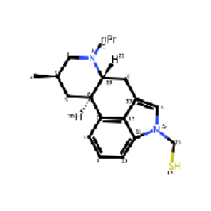 CCCN1C[C@H](C)C[C@@H]2c3cccc4c3c(cn4CS)C[C@H]21